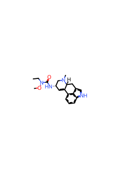 CCN(OC)C(=O)N[C@H]1C=C2c3cccc4[nH]cc(c34)C[C@H]2N(C)C1